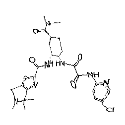 CN(C)C(=O)[C@H]1CC[C@H](NC(=O)C(=O)Nc2ccc(Cl)cn2)[C@H](NC(=O)c2nc3c(s2)CN(C)C3(C)C)C1